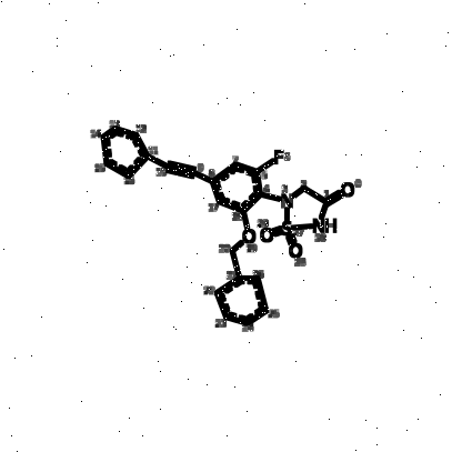 O=C1CN(c2c(F)cc(C#Cc3ccccc3)cc2OCc2ccccc2)S(=O)(=O)N1